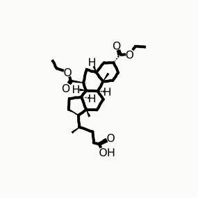 CCOC(=O)[C@@H]1CC[C@@]2(C)[C@@H](C1)C[C@H](C(=O)OCC)[C@@H]1[C@@H]2CC[C@]2(C)[C@@H]([C@H](C)CCC(=O)O)CC[C@@H]12